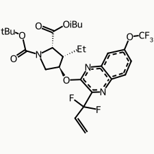 C=CC(F)(F)c1nc2ccc(OC(F)(F)F)cc2nc1O[C@H]1CN(C(=O)OC(C)(C)C)[C@H](C(=O)OCC(C)C)[C@@H]1CC